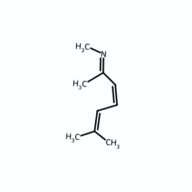 C/N=C(C)/C=C\C=C(C)C